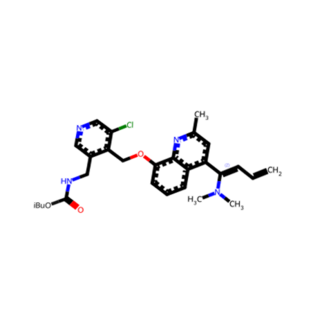 C=C/C=C(/c1cc(C)nc2c(OCc3c(Cl)cncc3CNC(=O)OCC(C)C)cccc12)N(C)C